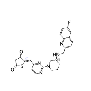 O=C1CC(=O)/C(=C/c2ccnc(N3CCC[C@H](NCc4ccc5cc(F)ccc5n4)C3)n2)S1